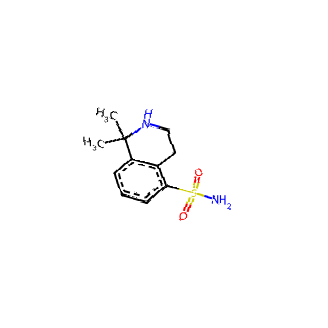 CC1(C)NCCc2c1cccc2S(N)(=O)=O